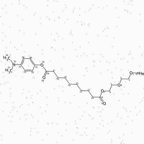 CCCCCCOCCOCCOC(=O)CCCCCCCCC(=O)Oc1ccc(N(C)C)cc1